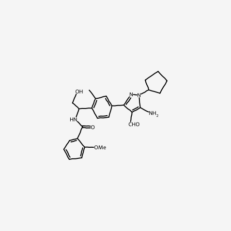 COc1ccccc1C(=O)NC(CO)c1ccc(-c2nn(C3CCCC3)c(N)c2C=O)cc1C